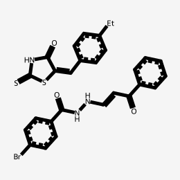 CCc1ccc(C=C2SC(=S)NC2=O)cc1.O=C(C=CNNC(=O)c1ccc(Br)cc1)c1ccccc1